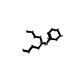 CCCCB(CCCC)OC1=CCCCC1